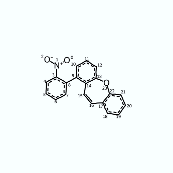 O=[N+]([O-])c1ccccc1-c1cccc2c1C=Cc1ccccc1O2